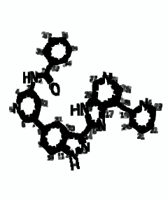 O=C(Nc1cncc(-c2ccc3[nH]nc(-c4nc5c(-c6ccccn6)cncc5[nH]4)c3c2)c1)c1ccccc1